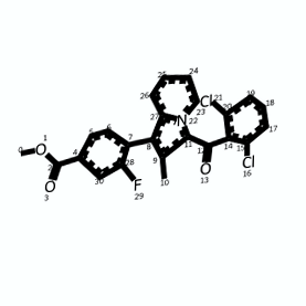 COC(=O)c1ccc(-c2c(C)c(C(=O)c3c(Cl)cccc3Cl)n3ccccc23)c(F)c1